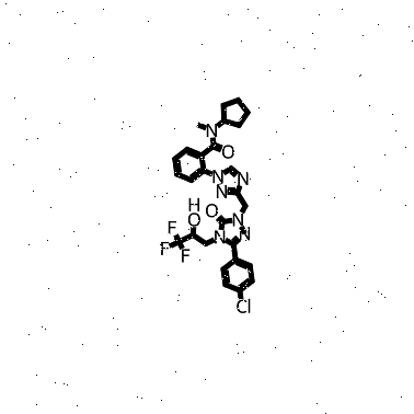 CN(C(=O)c1ccccc1-n1cnc(Cn2nc(-c3ccc(Cl)cc3)n(CC(O)C(F)(F)F)c2=O)n1)C1CCCC1